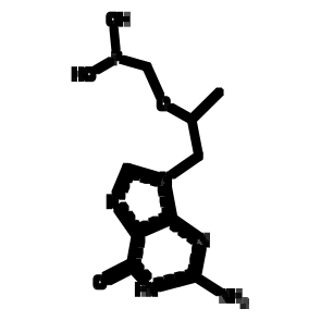 CC(Cn1cnc2c(=O)[nH]c(N)nc21)OCP(O)O